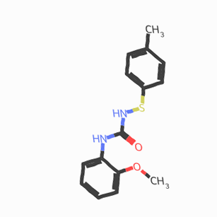 COc1ccccc1NC(=O)NSc1ccc(C)cc1